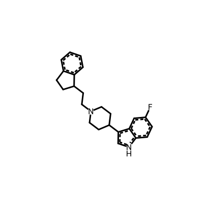 Fc1ccc2[nH]cc(C3CCN(CCC4CCc5ccccc54)CC3)c2c1